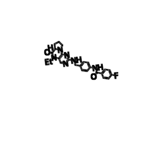 CCN1C(=O)[C@H]2CCCN2c2nc(NCc3ccc(NC(=O)c4ccc(F)cc4)cc3)ncc21